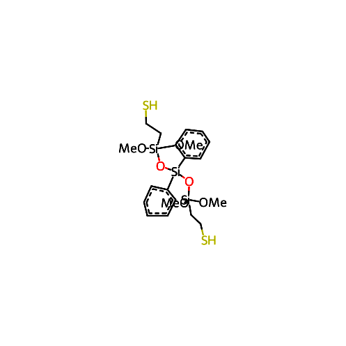 CO[Si](CCS)(OC)O[Si](O[Si](CCS)(OC)OC)(c1ccccc1)c1ccccc1